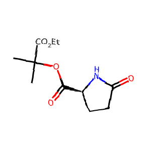 CCOC(=O)C(C)(C)OC(=O)[C@@H]1CCC(=O)N1